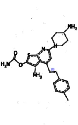 Cc1ccc(/C=C/c2cc(N3CCC(N)CC3)nc3sc(OC(N)=O)c(N)c23)cc1